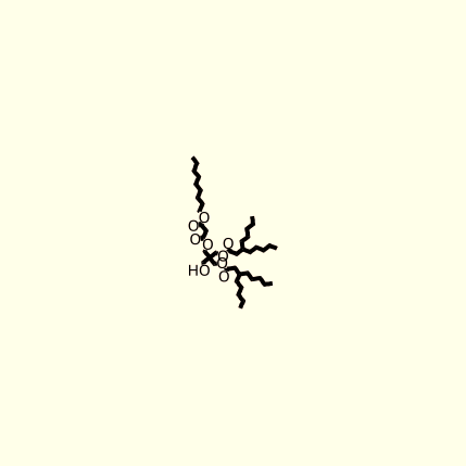 CCCCCCCCCOC(=O)CC(=O)OCC(CO)(COC(=O)CC(CCCCC)CCCCC)COC(=O)CC(CCCCC)CCCCC